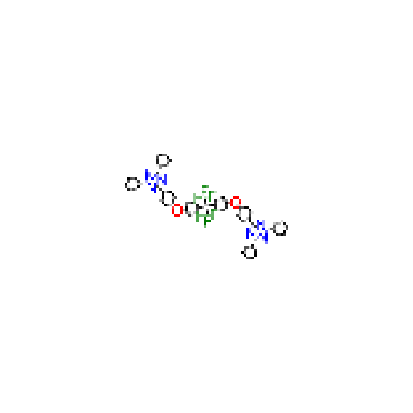 FC(F)(F)C(c1ccc(Oc2ccc(-c3nc(-c4ccccc4)nc(-c4ccccc4)n3)cc2)cc1)(c1ccc(Oc2ccc(-c3nc(-c4ccccc4)nc(-c4ccccc4)n3)cc2)cc1)C(F)(F)F